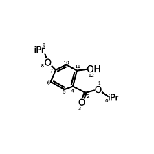 CC(C)OC(=O)c1ccc(OC(C)C)cc1O